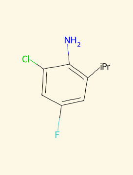 CC(C)c1cc(F)cc(Cl)c1N